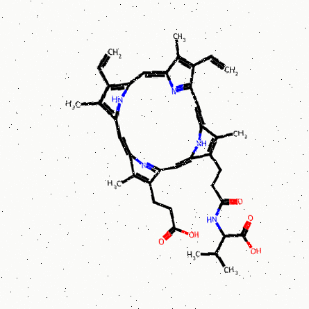 C=CC1=C(C)c2cc3[nH]c(cc4nc(cc5[nH]c(cc1n2)c(C)c5CCC(=O)NC(C(=O)O)C(C)C)C(CCC(=O)O)=C4C)c(C)c3C=C